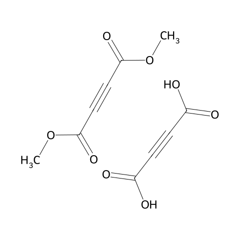 COC(=O)C#CC(=O)OC.O=C(O)C#CC(=O)O